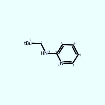 CC(C)(C)CNc1ccccn1